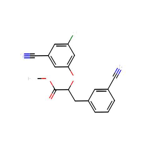 COC(=O)C(Cc1cccc(C#N)c1)Oc1cc(Cl)cc(C#N)c1